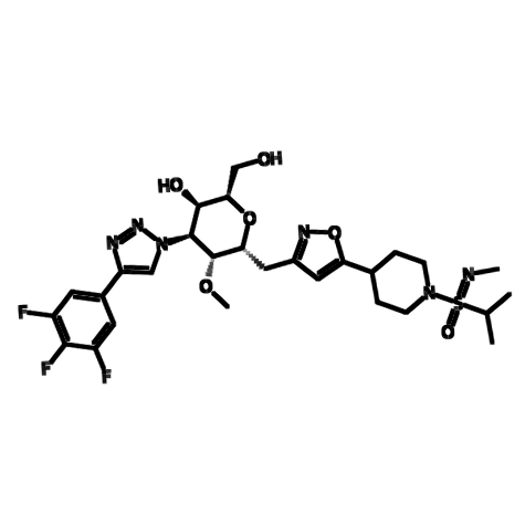 CN=S(=O)(C(C)C)N1CCC(c2cc(C[C@H]3O[C@H](CO)[C@H](O)[C@H](n4cc(-c5cc(F)c(F)c(F)c5)nn4)[C@H]3OC)no2)CC1